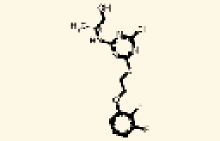 C[C@H](CO)Nc1nc(Cl)nc(SCCOc2cccc(F)c2F)n1